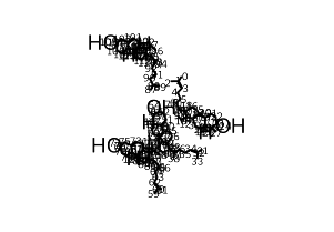 CC(C)=CCC[C@@H](C)[C@H]1CC[C@@]2(C)C3=C(CC[C@]12C)[C@@]1(C)CC[C@H](O)C(C)(C)[C@@H]1CC3.CC(C)=CCC[C@@H](C)[C@H]1CC[C@H]2C3=C(CC[C@]12C)[C@@]1(C)CC[C@H](O)C[C@@H]1CC3.CC(C)=CCC[C@@H](C)[C@H]1CC[C@H]2[C@@H]3CC=C4C[C@@H](O)CC[C@]4(C)[C@H]3CC[C@]12C.CC(C)CCC[C@@H](C)[C@H]1CC[C@H]2[C@@H]3CC=C4C[C@@H](O)CC[C@]4(C)[C@H]3CC[C@]12C